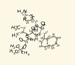 CCC(C)[C@@H](NC(=O)OC(C)(C)C)C(=O)N[C@@H](Cc1cccc2ccccc12)C(=O)NCc1cnc(N)s1